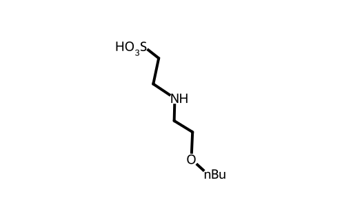 CCCCOCCNCCS(=O)(=O)O